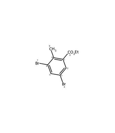 CCOC(=O)c1cc(Br)cc(Br)c1C